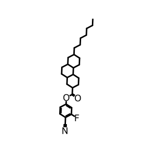 CCCCCCCC1CCC2C(CCC3CC(C(=O)Oc4ccc(C#N)c(F)c4)CCC32)C1